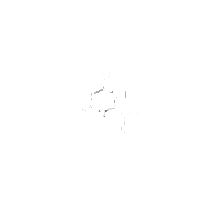 C=C1C=C(C)NC(C(C)C)=N1